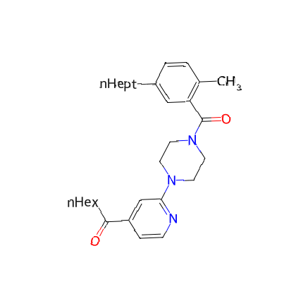 CCCCCCCc1ccc(C)c(C(=O)N2CCN(c3cc(C(=O)CCCCCC)ccn3)CC2)c1